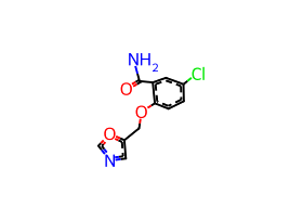 NC(=O)c1cc(Cl)ccc1OCc1cnco1